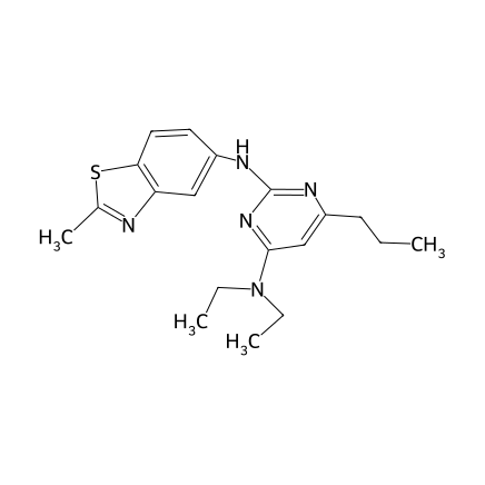 CCCc1cc(N(CC)CC)nc(Nc2ccc3sc(C)nc3c2)n1